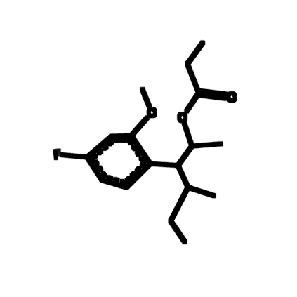 CCC(=O)OC(C)C(c1ccc(F)cc1OC)C(C)CC